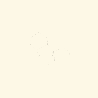 O=[C]c1cccc2c1CCCO2